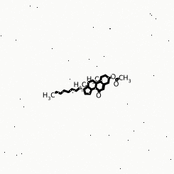 CCCCCCCC[C@H]1CCC2C3C(=O)C=C4CC(OC(C)=O)CC[C@]4(C)C3CC[C@@]21C